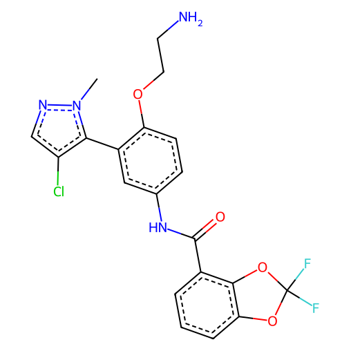 Cn1ncc(Cl)c1-c1cc(NC(=O)c2cccc3c2OC(F)(F)O3)ccc1OCCN